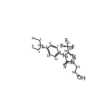 CCN(CC)c1ccc(-n2c(C(F)(F)F)nn(CCO)c2=S)cc1